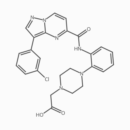 O=C(O)CN1CCN(c2ccccc2NC(=O)c2ccn3ncc(-c4cccc(Cl)c4)c3n2)CC1